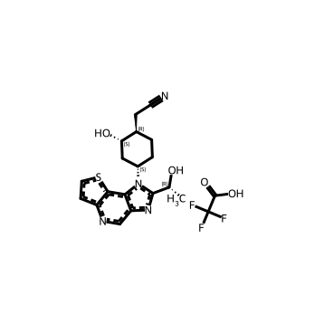 C[C@@H](O)c1nc2cnc3ccsc3c2n1[C@H]1CC[C@H](CC#N)[C@@H](O)C1.O=C(O)C(F)(F)F